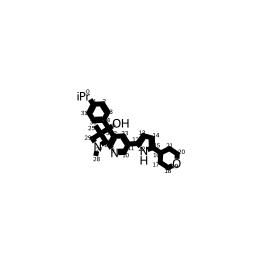 CC(C)c1ccc(C(O)(c2cncc(-c3ccc(C4CCOCC4)[nH]3)c2)C2(C)CN(C)C2)cc1